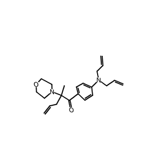 C=CCN(CC=C)c1ccc(C(=O)C(C)(CC=C)N2CCOCC2)cc1